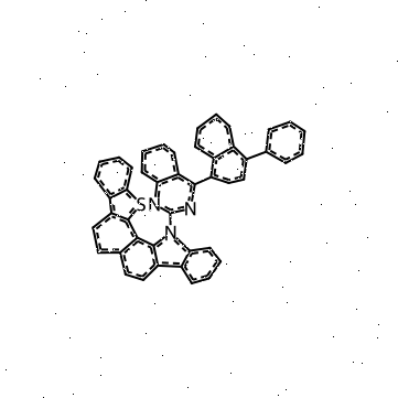 c1ccc(-c2ccc(-c3nc(-n4c5ccccc5c5ccc6ccc7c8ccccc8sc7c6c54)nc4ccccc34)c3ccccc23)cc1